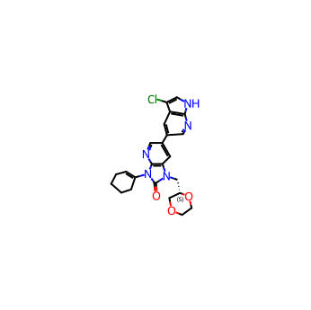 O=c1n(C[C@H]2COCCO2)c2cc(-c3cnc4[nH]cc(Cl)c4c3)cnc2n1C1=CCCCC1